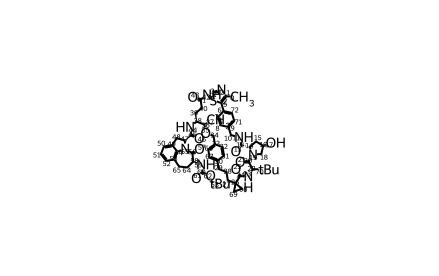 Cc1ncsc1-c1ccc(CNC(=O)[C@@H]2C[C@@H](O)CN2C(=O)C(NC(=O)C2(CCCc3ccc(CO[C@H](C)[C@H](CCC(N)=O)NC(=O)[C@@H]4Cc5cccc6c5N4C(=O)[C@@H](NC(=O)OC(C)(C)C)CC6)cc3)CC2)C(C)(C)C)cc1